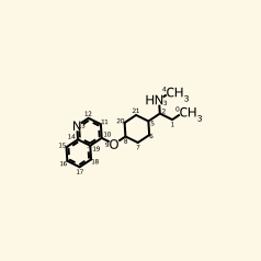 CCC(NC)C1CCC(Oc2ccnc3ccccc23)CC1